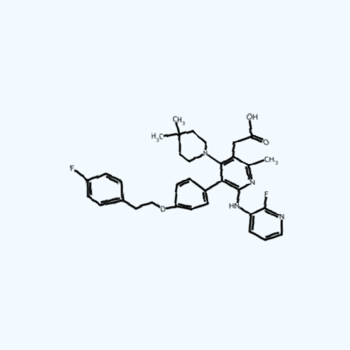 Cc1nc(Nc2cccnc2F)c(-c2ccc(OCCc3ccc(F)cc3)cc2)c(N2CCC(C)(C)CC2)c1CC(=O)O